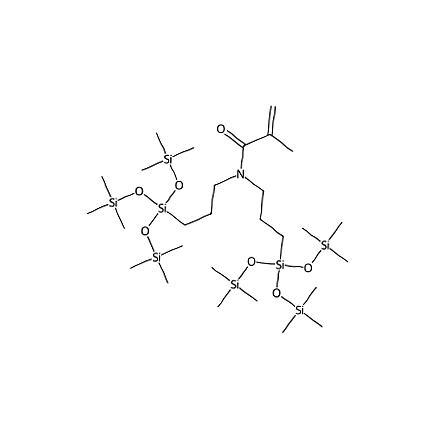 C=C(C)C(=O)N(CCC[Si](O[Si](C)(C)C)(O[Si](C)(C)C)O[Si](C)(C)C)CCC[Si](O[Si](C)(C)C)(O[Si](C)(C)C)O[Si](C)(C)C